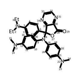 CCN(CC)c1ccc(C2(N(c3ccc(N(C)C)cc3)c3ccc(N(C)C)cc3)OC(=O)c3nccnc32)cc1